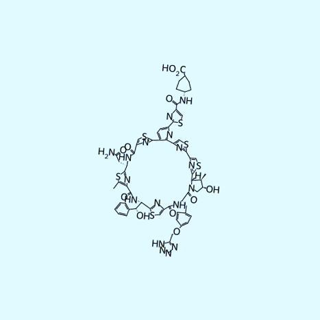 Cc1sc2nc1C(=O)N[C@@H]([C@H](O)c1ccccc1)c1nc(cs1)C(=O)N[C@@H](Cc1ccc(OCc3nnn[nH]3)cc1)C(=O)N1C[C@H](O)[C@H](C)[C@H]1c1nc(cs1)-c1nc(cs1)-c1nc(-c3nc(C(=O)N[C@H]4CC[C@H](C(=O)O)CC4)cs3)ccc1-c1nc(cs1)C(=O)N[C@H]2CC(N)=O